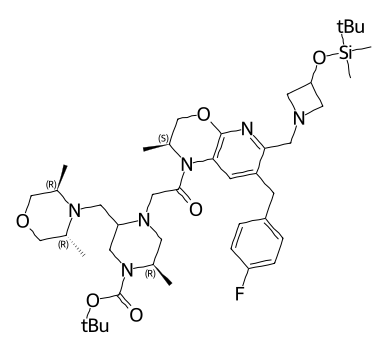 C[C@@H]1CN(CC(=O)N2c3cc(Cc4ccc(F)cc4)c(CN4CC(O[Si](C)(C)C(C)(C)C)C4)nc3OC[C@@H]2C)C(CN2[C@H](C)COC[C@H]2C)CN1C(=O)OC(C)(C)C